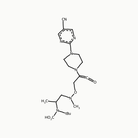 CC(CN(C)OCC(=C=O)N1CCN(c2ncc(C#N)cn2)CC1)N(C(=O)O)C(C)(C)C